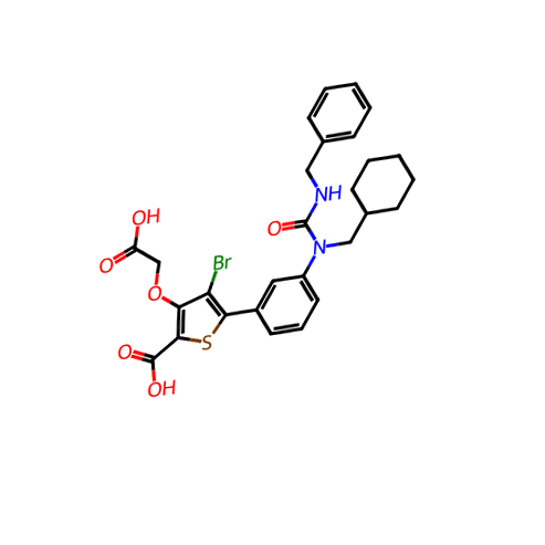 O=C(O)COc1c(C(=O)O)sc(-c2cccc(N(CC3CCCCC3)C(=O)NCc3ccccc3)c2)c1Br